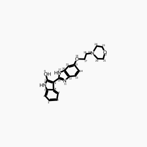 Oc1[nH]c2ccccc2c1-c1nc2ccc(OCCN3CCOCC3)cc2[nH]1